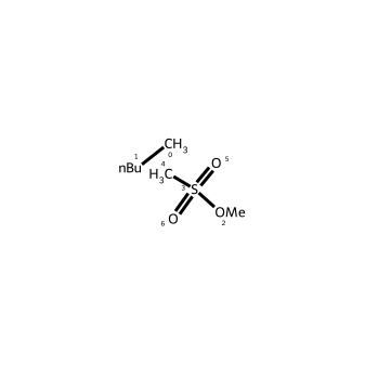 CCCCC.COS(C)(=O)=O